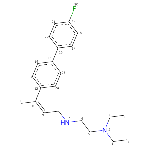 CCN(CC)CCNC/C=C(/C)c1ccc(-c2ccc(F)cc2)cc1